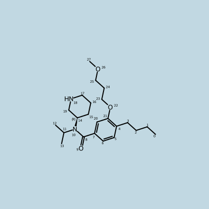 CCCCc1ccc(C(=O)N(C(C)C)[C@@H]2CCCNC2)cc1OCCCOC